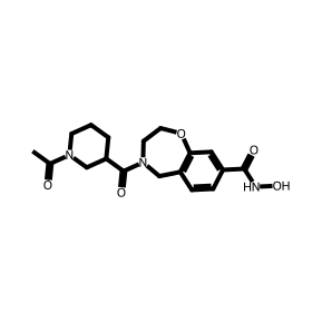 CC(=O)N1CCCC(C(=O)N2CCOc3cc(C(=O)NO)ccc3C2)C1